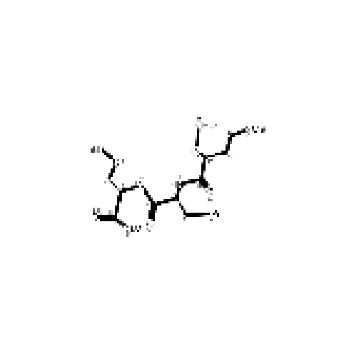 CCCCOC[C@H](NC(=O)[C@H](CC(C)C)NC(=O)[C@H](CCSC)NC=O)C(=O)OC